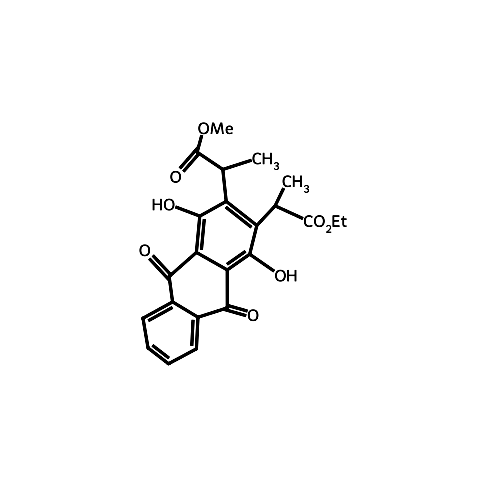 CCOC(=O)C(C)c1c(O)c2c(c(O)c1C(C)C(=O)OC)C(=O)c1ccccc1C2=O